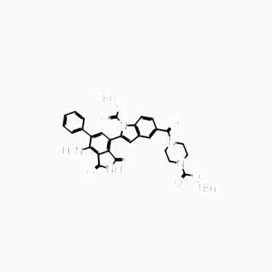 CC(C)(C)OC(=O)N1CCN(C(=O)c2ccc3c(c2)cc(-c2cc(-c4ccccc4)c(N)c4c2C(=O)NC4=O)n3C(=O)OC(C)(C)C)CC1